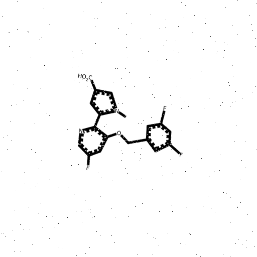 Cn1cc(C(=O)O)cc1-c1ncc(F)cc1OCc1cc(F)cc(F)c1